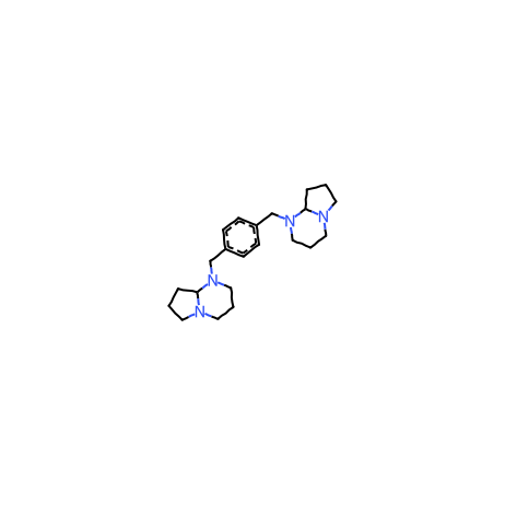 c1cc(CN2CCCN3CCCC32)ccc1CN1CCCN2CCCC21